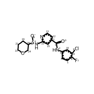 O=C(Nc1ccc(F)c(Cl)c1)c1ccnc(N[S+]([O-])C2CCCOC2)c1